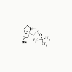 CC(C)(C)OC[C@]12CCCN1C[C@H](OC(C(F)(F)F)(C(F)(F)F)C(F)(F)F)C2